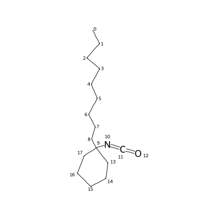 CCCCCCCCCC1(N=C=O)CCCCC1